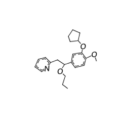 CCCOC(Cc1ccccn1)c1ccc(OC)c(OC2CCCC2)c1